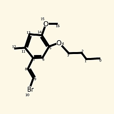 CCCCOc1cc(C=CBr)c(C)cc1OC